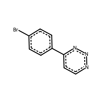 Brc1ccc(-c2ccnnn2)cc1